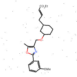 CCOC(=O)C=CCC1CCCC(OCc2nc(-c3cccc(OC)c3)oc2C)C1